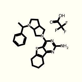 CC(c1ccccc1)N1CCC2CN(c3nc(N)nc4c5c(sc34)CCCC5)CC21.O=C(O)C(F)(F)F